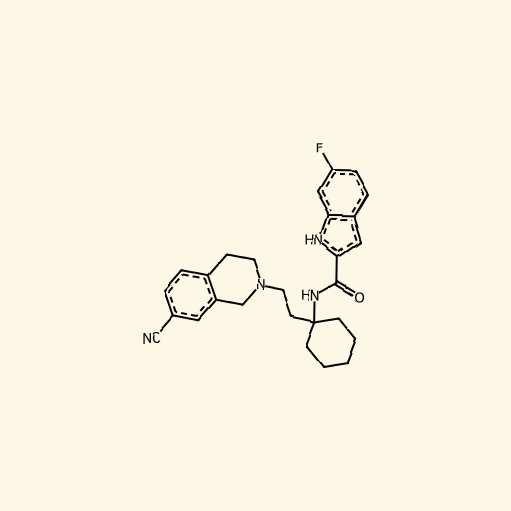 N#Cc1ccc2c(c1)CN(CCC1(NC(=O)c3cc4ccc(F)cc4[nH]3)CCCCC1)CC2